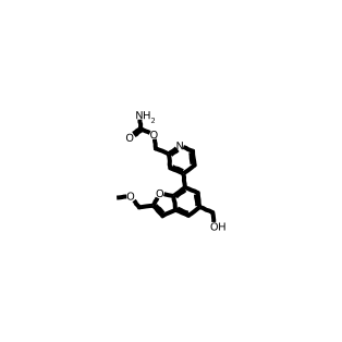 COCc1cc2cc(CO)cc(-c3ccnc(COC(N)=O)c3)c2o1